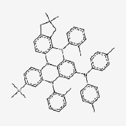 Cc1ccc(N(c2ccc(C)cc2)c2cc3c4c(c2)N(c2ccccc2C)c2c(ccc5c2CC(C)(C)C5)B4c2ccc([Si](C)(C)C)cc2N3c2ccccc2C)cc1